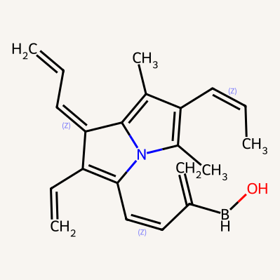 C=C/C=c1/c(C=C)c(/C=C\C(=C)BO)n2c(C)c(/C=C\C)c(C)c12